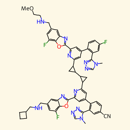 COCCNCc1cc(F)c2oc(-c3cc(-c4ccc(F)cc4-c4nncn4C)cc(C4CC4C4CC4c4cc(-c5ccc(C#N)cc5-c5nncn5C)cc(-c5nc6cc(CNCC7CCC7)cc(F)c6o5)n4)n3)nc2c1